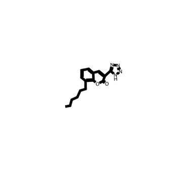 CCCCCCc1cccc2cc(-c3nnn[nH]3)c(=O)oc12